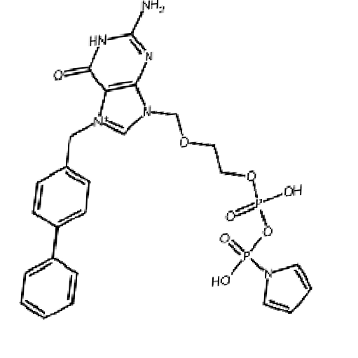 Nc1nc2c(c(=O)[nH]1)[n+](Cc1ccc(-c3ccccc3)cc1)cn2COCCOP(=O)(O)OP(=O)(O)n1cccc1